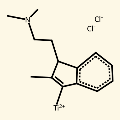 CC1=[C]([Ti+2])c2ccccc2C1CCN(C)C.[Cl-].[Cl-]